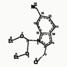 CCOC(OCC)n1c(CCl)cc2ccc(C#N)cc21